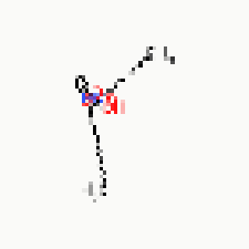 CCCCCCCCCCCCC/C=C/[C@@H](OC(=O)c1ccccc1)[C@H](CO)NC(=O)CCCCCCCCCCC